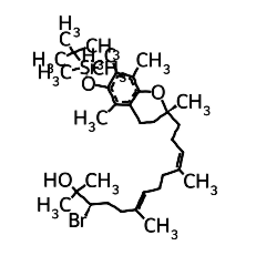 CC(=CCC[C@]1(C)CCc2c(C)c(O[Si](C)(C)C(C)(C)C)c(C)c(C)c2O1)CC/C=C(\C)CC[C@@H](Br)C(C)(C)O